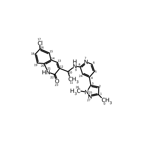 Cc1cc(-c2ccnc(NC(C)c3cc4cc(Cl)ccc4[nH]c3=O)c2)n(C)n1